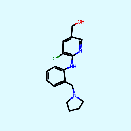 OCc1cnc(Nc2ccccc2CN2CCCC2)c(Cl)c1